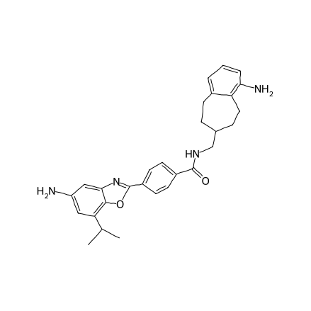 CC(C)c1cc(N)cc2nc(-c3ccc(C(=O)NCC4CCc5cccc(N)c5CC4)cc3)oc12